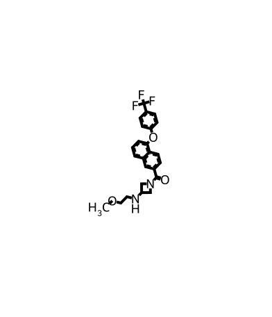 COCCNC1CN(C(=O)c2ccc3c(Oc4ccc(C(F)(F)F)cc4)cccc3c2)C1